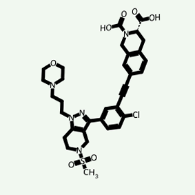 CS(=O)(=O)N1CCc2c(c(-c3ccc(Cl)c(C#Cc4ccc5c(c4)CN(C(=O)O)[C@H](C(=O)O)C5)c3)nn2CCCN2CCOCC2)C1